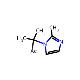 CC(=O)C(C)(C)n1ccnc1C